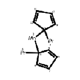 CC(C)[C]1([Mn][C]2(C(C)C)C=CC=C2)C=CC=C1